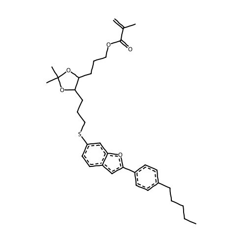 C=C(C)C(=O)OCCCC1OC(C)(C)OC1CCCSc1ccc2cc(-c3ccc(CCCCC)cc3)oc2c1